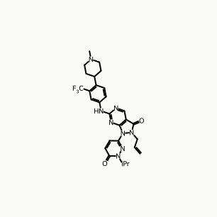 C=CCn1c(=O)c2cnc(Nc3ccc(C4CCN(C)CC4)c(C(F)(F)F)c3)nc2n1-c1ccc(=O)n(C(C)C)n1